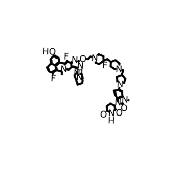 CCc1c(F)ccc2cc(O)cc(-c3ncc4c(N5CC6CCC(C5)N6)nc(OCCN5CCC(F)(CC6CCN(CC7CCN(c8ccc9c(c8)n(C)c(=O)n9C8CCC(=O)NC8=O)CC7)CC6)CC5)nc4c3F)c12